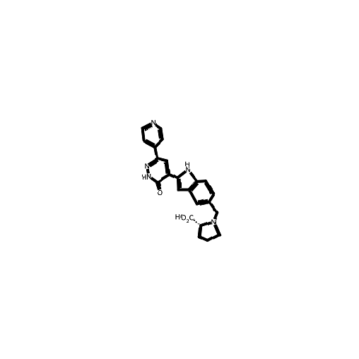 O=C(O)[C@H]1CCCN1Cc1ccc2[nH]c(-c3cc(-c4ccncc4)n[nH]c3=O)cc2c1